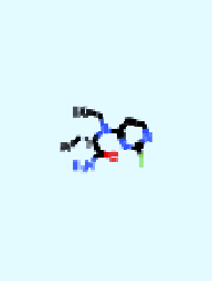 CC(C)C[C@@H](C(N)=O)N(CC#N)c1ccnc(F)n1